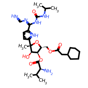 CC(C)NC(=O)N/C(=N/C=N)c1ccc([C@]2(C)O[C@H](COC(=O)CC3CCCCC3)[C@@H](OC(=O)[C@@H](N)C(C)C)[C@H]2O)[nH]1